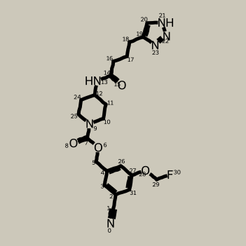 N#Cc1cc(COC(=O)N2CCC(NC(=O)CCCc3c[nH]nn3)CC2)cc(OCF)c1